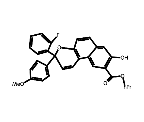 CCCOC(=O)c1cc2c3c(ccc2cc1O)OC(c1ccc(OC)cc1)(c1ccccc1F)C=C3